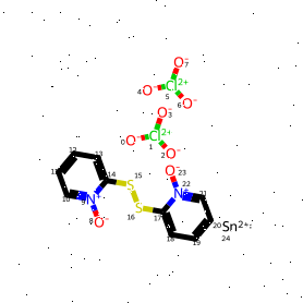 [O-][Cl+2]([O-])[O-].[O-][Cl+2]([O-])[O-].[O-][n+]1ccccc1SSc1cccc[n+]1[O-].[Sn+2]